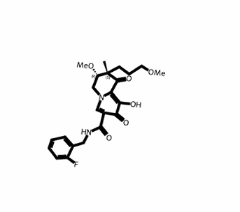 COCCC[C@]1(C)C(=O)c2c(O)c(=O)c(C(=O)NCc3ccccc3F)cn2C[C@@H]1OC